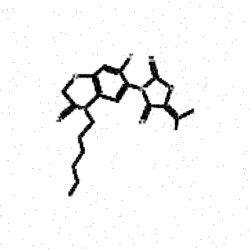 CCCCCCN1C(=O)COc2cc(F)c(N3C(=O)OC(=C(C)C)C3=O)cc21